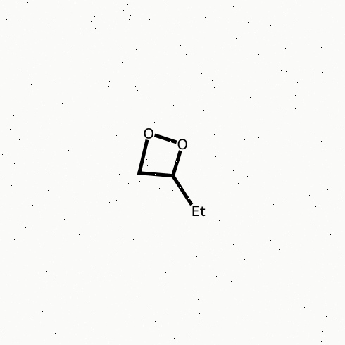 CCC1COO1